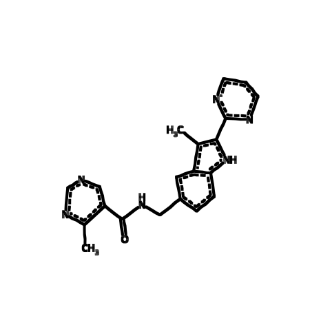 Cc1ncncc1C(=O)NCc1ccc2[nH]c(-c3ncccn3)c(C)c2c1